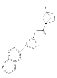 CC12CC(C(=O)Nc3ncc(-c4ccc5nnccc5c4)s3)(CO1)C2